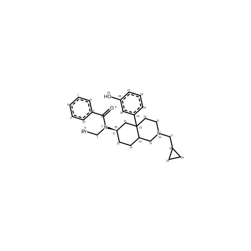 CC(C)CN(C(=O)c1ccccc1)[C@@H]1CCC2CN(CC3CC3)CCC2(c2cccc(O)c2)C1